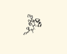 CCO[Si](CCCN(C)C(=O)CC)(OCC)OCC